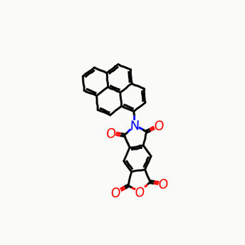 O=c1oc(=O)c2cc3c(=O)n(-c4ccc5ccc6cccc7ccc4c5c67)c(=O)c3cc12